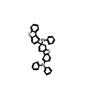 C1=CC(Nc2ccccc2)(c2ccc3sc4ccccc4c3c2)Cc2sc3ccc(N(c4ccccc4)c4ccccc4)cc3c21